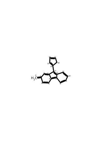 C=c1[c]c2c(cc1)=c1ccccc1=C2C1=CC=CC1